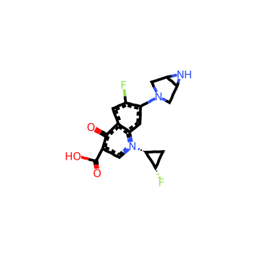 O=C(O)c1cn([C@@H]2C[C@@H]2F)c2cc(N3CC4NC4C3)c(F)cc2c1=O